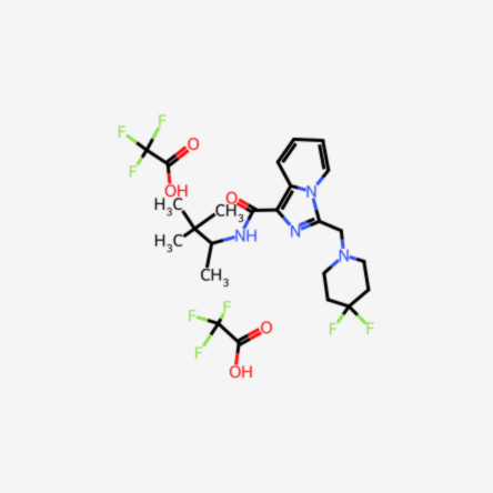 CC(NC(=O)c1nc(CN2CCC(F)(F)CC2)n2ccccc12)C(C)(C)C.O=C(O)C(F)(F)F.O=C(O)C(F)(F)F